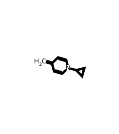 C=C1C=CN(C2CC2)C=C1